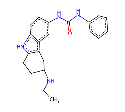 CCNC1CCc2[nH]c3ccc(NC(=O)Nc4ccccc4)cc3c2C1